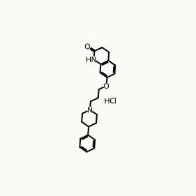 Cl.O=C1CCc2ccc(OCCCN3CCC(c4ccccc4)CC3)cc2N1